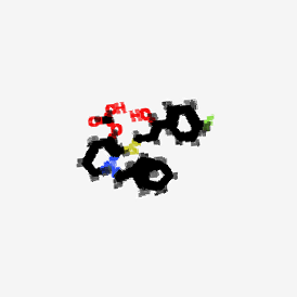 O=C(O)OC1=C(SCCC(O)c2ccc(F)cc2)N(CC2CC3CCC2C3)CC=C1